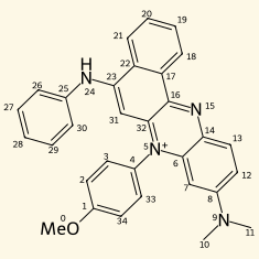 COc1ccc(-[n+]2c3cc(N(C)C)ccc3nc3c4ccccc4c(Nc4ccccc4)cc32)cc1